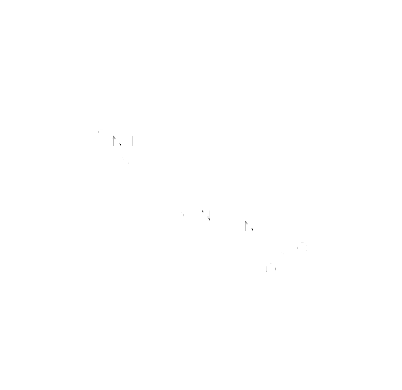 CSNSCCCSN1CCN(C2CCOC2=O)CC1